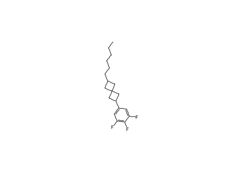 CCCCCCC1CC2(C1)CC(c1cc(F)c(F)c(F)c1)C2